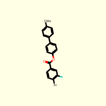 COc1ccc(-c2ccc(OC(=O)c3ccc(C(C)=O)c(F)c3)cc2)cc1